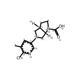 Cc1cc(N2C[C@@H]3CCN(C(=O)O)[C@@H]3C2)cnc1Cl